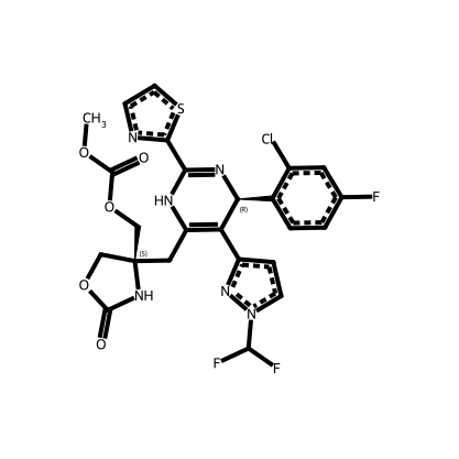 COC(=O)OC[C@]1(CC2=C(c3ccn(C(F)F)n3)[C@H](c3ccc(F)cc3Cl)N=C(c3nccs3)N2)COC(=O)N1